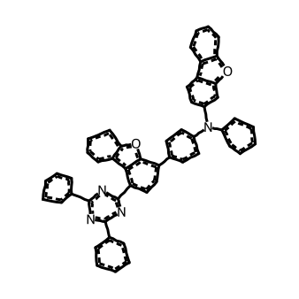 c1ccc(-c2nc(-c3ccccc3)nc(-c3ccc(-c4ccc(N(c5ccccc5)c5ccc6c(c5)oc5ccccc56)cc4)c4oc5ccccc5c34)n2)cc1